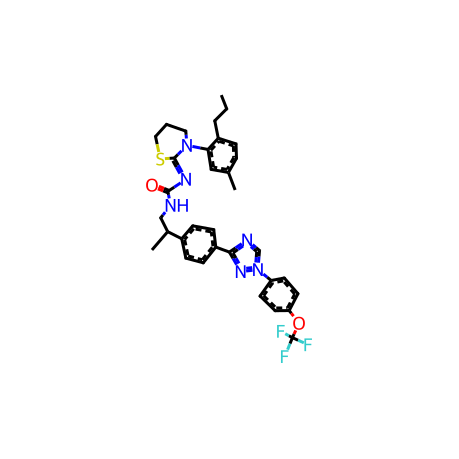 CCCc1ccc(C)cc1N1CCCS/C1=N\C(=O)NCC(C)c1ccc(-c2ncn(-c3ccc(OC(F)(F)F)cc3)n2)cc1